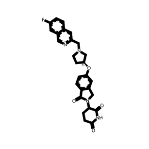 O=C1CCC(N2Cc3cc(O[C@H]4CCN(Cc5cc6ccc(F)cc6cn5)C4)ccc3C2=O)C(=O)N1